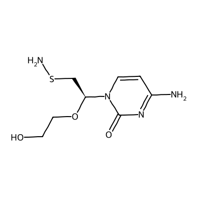 NSC[C@H](OCCO)n1ccc(N)nc1=O